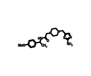 COc1ccc(C(C)NC(=O)CN2CCN(Cc3cnc(N)s3)CC2)cc1